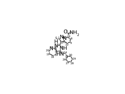 Cc1nn2c(C(N)=O)cccc2c1C1NC2=C(CC=CC=N2)C(NCc2ccccc2)N1